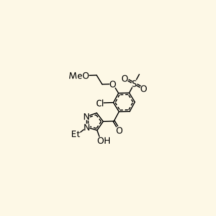 CCn1ncc(C(=O)c2ccc(S(C)(=O)=O)c(OCCOC)c2Cl)c1O